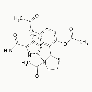 CC(=O)Oc1ccc(OC(C)=O)c(C2SCC[N+]2(C(C)=O)c2nc(C(N)=O)c(C)s2)c1